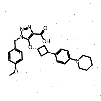 COc1ccc(Cn2nnc(C(=O)O)c2O[C@H]2C[C@H](c3ccc(N4CCCCC4)cc3)C2)cc1